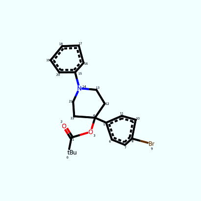 CC(C)(C)C(=O)OC1(c2ccc(Br)cc2)CCN(c2ccccc2)CC1